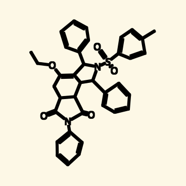 CCOC1=C2C(C3C(=O)N(c4ccccc4)C(=O)C3C1)C(c1ccccc1)N(S(=O)(=O)c1ccc(C)cc1)C2c1ccccc1